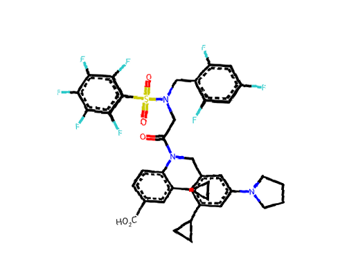 O=C(O)c1ccc(N(Cc2cc(C3CC3)cc(N3CCCC3)c2)C(=O)CN(Cc2c(F)cc(F)cc2F)S(=O)(=O)c2c(F)c(F)c(F)c(F)c2F)c(C2CC2)c1